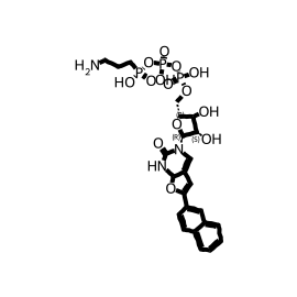 NCCCP(=O)(O)OP(=O)(O)OP(=O)(O)OC[C@H]1O[C@@H](N2C=C3C=C(c4ccc5ccccc5c4)OC3NC2=O)[C@@H](O)C1O